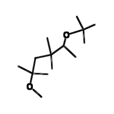 COC(C)(C)CC(C)(C)C(C)OC(C)(C)C